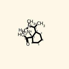 CC(C1CCCC[C@]1(N)C(=O)O)N(C)C